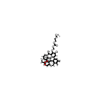 COCCOC(=O)OCOc1c2n(ccc1=O)N([C@@H]1c3ccccc3SCc3c1ccc(F)c3F)[C@@H]1[C@H]3C[C@@H]4CC[C@@]3(CCN1C2=O)O4